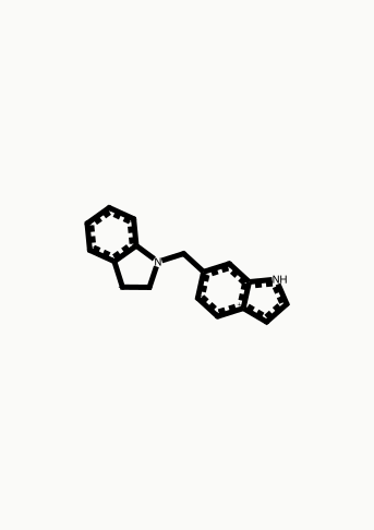 [CH]1CN(Cc2ccc3cc[nH]c3c2)c2ccccc21